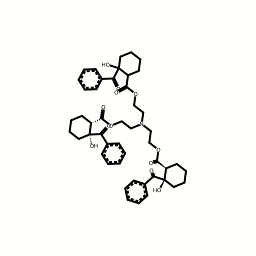 O=C(OCCN(CCOC(=O)[C@H]1CCCC[C@]1(O)C(=O)c1ccccc1)CCOC(=O)[C@H]1CCCC[C@]1(O)C(=O)c1ccccc1)C1CCCCC1(O)C(=O)c1ccccc1